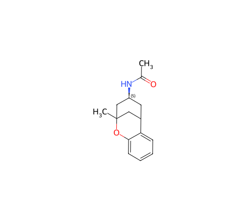 CC(=O)N[C@H]1CC2CC(C)(C1)Oc1ccccc12